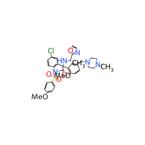 COc1ccc(S(=O)(=O)N2C(=O)C(N[C@@H](C)c3ncco3)(c3cc(CN4CCN(C)CC4)ccc3OC)c3cc(Cl)ccc32)cc1